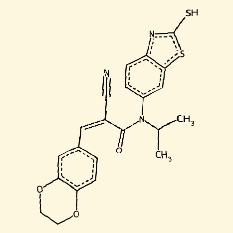 CC(C)N(C(=O)C(C#N)=Cc1ccc2c(c1)OCCO2)c1ccc2nc(S)sc2c1